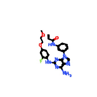 C=CC(=O)Nc1cccc(-n2cnc3c(N)nc(Nc4ccc(OCCOC)cc4F)nc32)c1